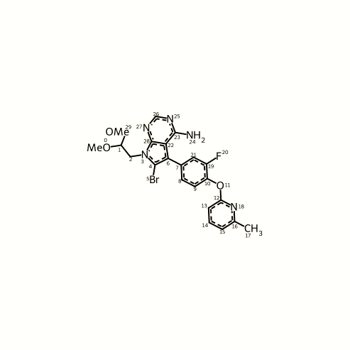 COC(Cn1c(Br)c(-c2ccc(Oc3cccc(C)n3)c(F)c2)c2c(N)ncnc21)OC